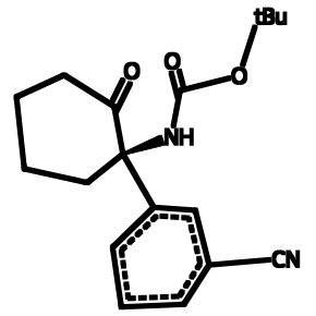 CC(C)(C)OC(=O)N[C@@]1(c2cccc(C#N)c2)CCCCC1=O